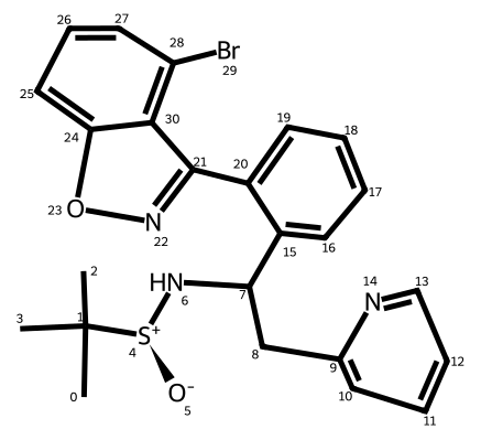 CC(C)(C)[S@+]([O-])NC(Cc1ccccn1)c1ccccc1-c1noc2cccc(Br)c12